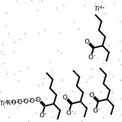 CCCCC(CC)C(=O)[O-].CCCCC(CC)C(=O)[O-].CCCCC(CC)C(=O)[O-].CCCCC(CC)C(=O)[O-].[O-2].[O-2].[O-2].[O-2].[Ti+4].[Ti+4].[Ti+4]